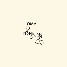 COc1ccc(-n2nccc2NC(=O)CCc2nnnn2-c2cccc3ccccc23)cc1